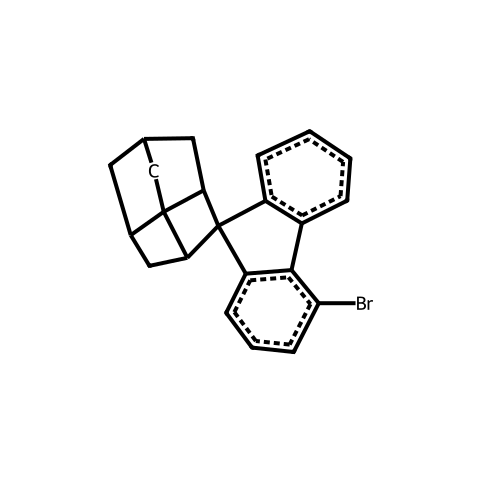 Brc1cccc2c1-c1ccccc1C21C2CC3CC4CC1C42C3